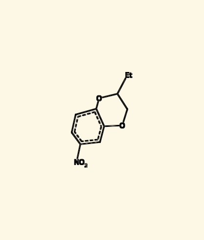 CCC1COc2cc([N+](=O)[O-])ccc2O1